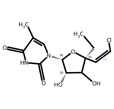 CC[C@@]1(/C=C\Cl)O[C@@H](n2cc(C)c(=O)[nH]c2=O)[C@@H](O)C1O